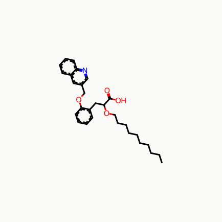 CCCCCCCCCCOC(Cc1ccccc1OCc1cnc2ccccc2c1)C(=O)O